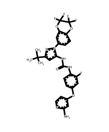 CC(C)(C)c1cc(NC(=O)Nc2ccc(Oc3ccnc(N)c3)cc2F)n(-c2ccc3c(c2)OC(F)(F)C(F)(F)O3)n1